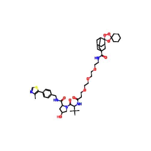 Cc1ncsc1-c1ccc(CNC(=O)C2CC(O)CN2C(=O)C(NC(=O)CCOCCOCCOCCNC(=O)C23CC4CC(C2)C2(OOC5(CCCCC5)O2)C(C4)C3)C(C)(C)C)cc1